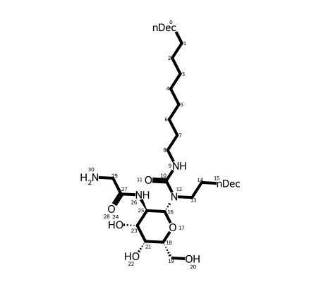 CCCCCCCCCCCCCCCCCCNC(=O)N(CCCCCCCCCCCC)[C@@H]1O[C@H](CO)[C@H](O)[C@H](O)[C@H]1NC(=O)CN